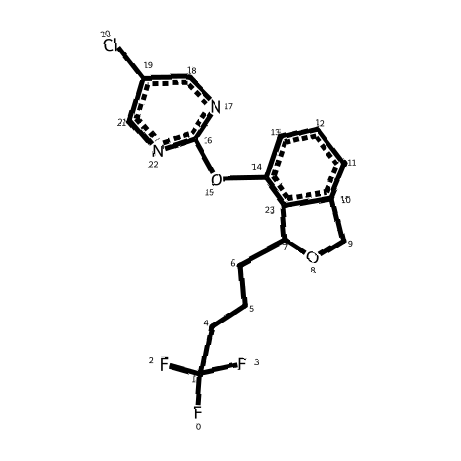 FC(F)(F)CCCC1OCc2cccc(Oc3ncc(Cl)cn3)c21